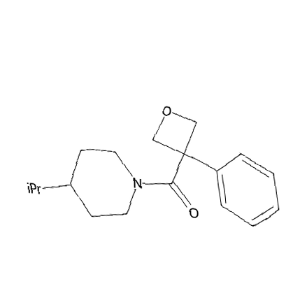 CC(C)C1CCN(C(=O)C2(c3ccccc3)COC2)CC1